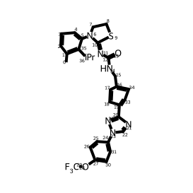 Cc1cccc(N2CCS/C2=N\C(=O)NCc2ccc(-c3ncn(-c4ccc(OC(F)(F)F)cc4)n3)cc2)c1C(C)C